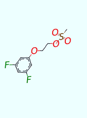 CS(=O)(=O)OCCOc1cc(F)cc(F)c1